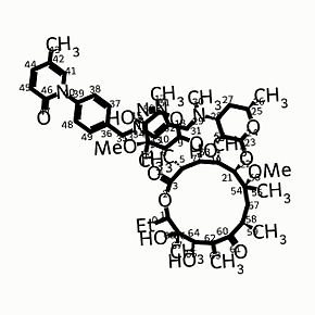 CCC1OC(=O)[C@H](C)[C@H](OC2C[C@@](C)(OC)[C@@H](O)[C@H](C)O2)[C@H](C)[C@@H](OC2O[C@H](C)C[C@H](N(C)Cc3cn(Cc4ccc(-n5cc(C)ccc5=O)cc4)nn3)[C@H]2O)[C@@](C)(OC)C[C@@H](C)C(=O)C(C)[C@@H](O)[C@]1(C)O